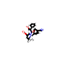 C[C@H]1CC(=O)C[N@@+]1(Cc1ccc(C#N)cc1)/C(O)=C(\C=O)c1ccccc1